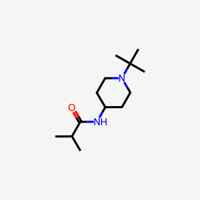 CC(C)C(=O)NC1CCN(C(C)(C)C)CC1